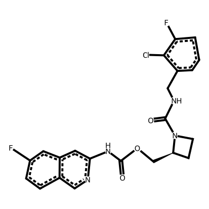 O=C(Nc1cc2cc(F)ccc2cn1)OC[C@@H]1CCN1C(=O)NCc1cccc(F)c1Cl